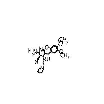 COc1cc2c(cc1OC)Oc1nc(N)c(C#N)c(NCCN3CCCC3)c1C2